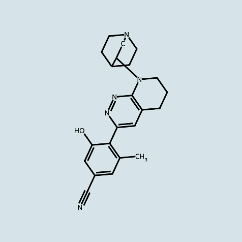 Cc1cc(C#N)cc(O)c1-c1cc2c(nn1)N(C1CN3CCC1CC3)CCC2